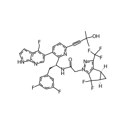 CC(C)(O)C#Cc1ccc(-c2cnc3[nH]ccc3c2F)c([C@H](Cc2cc(F)cc(F)c2)NC(=O)Cn2nc(C(F)(F)F)c3c2C(F)(F)[C@@H]2C[C@H]32)n1